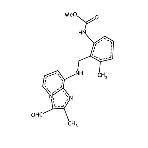 COC(=O)Nc1cccc(C)c1CNc1cccn2c(C=O)c(C)nc12